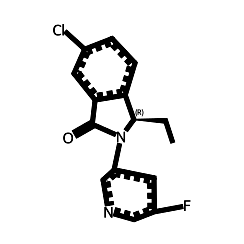 CC[C@@H]1c2ccc(Cl)cc2C(=O)N1c1cncc(F)c1